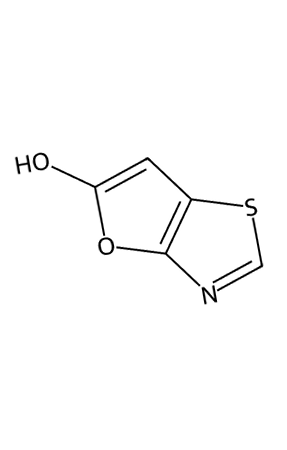 Oc1cc2scnc2o1